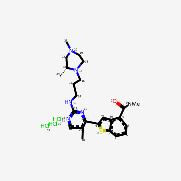 CNC(=O)c1cccc2sc(-c3nc(NCCCN4CCN(C)C[C@H]4C)ncc3C)cc12.Cl.Cl.Cl